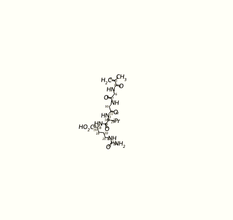 C=C(C)C(=O)NCC(=O)NCC(=O)N[C@H](C(=O)N[C@@H](CCCNC(N)=O)C(=O)O)C(C)C